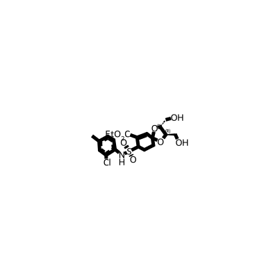 CCOC(=O)C1=CC2(CCC1S(=O)(=O)Nc1ccc(C)cc1Cl)O[C@H](CO)[C@@H](CO)O2